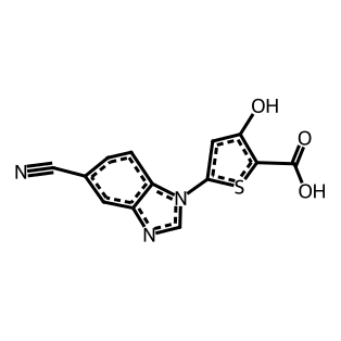 N#Cc1ccc2c(c1)ncn2-c1cc(O)c(C(=O)O)s1